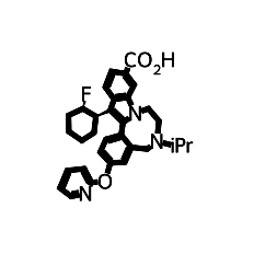 CC(C)N1CCn2c(c([C@H]3CCCC[C@@H]3F)c3ccc(C(=O)O)cc32)-c2ccc(Oc3ccccn3)cc2C1